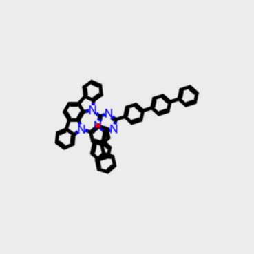 c1ccc(-c2ccc(-c3ccc(-c4nc(-c5ccccc5)nc(-n5c6ccccc6c6ccc7c8ccccc8n(-c8cccc(-c9ccccc9)c8)c7c65)n4)cc3)cc2)cc1